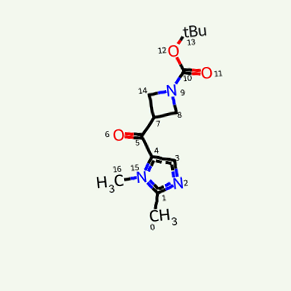 Cc1ncc(C(=O)C2CN(C(=O)OC(C)(C)C)C2)n1C